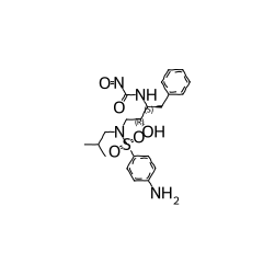 CC(C)CN(C[C@@H](O)[C@H](Cc1ccccc1)NC(=O)N=O)S(=O)(=O)c1ccc(N)cc1